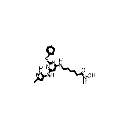 Cc1cc(Nc2cc(NCCCCCC(=O)NO)nc(Sc3cc[c]cc3)n2)[nH]n1